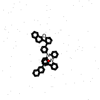 c1cc(-c2cccc3oc4c5ccccc5ccc4c23)cc(N(c2ccc(-c3ccc4ccccc4c3)cc2)c2ccccc2-n2c3ccccc3c3ccccc32)c1